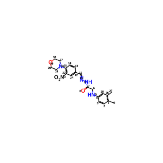 Cc1ccc(NCC(=O)N/N=C/c2ccc(N3CCOCC3)c([N+](=O)[O-])c2)cc1C